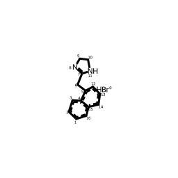 Br.c1ccc2c(CC3=NCCN3)cccc2c1